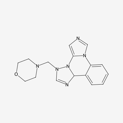 C1=NC2c3ccccc3-n3cncc3N2N1CN1CCOCC1